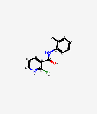 Cc1ccccc1NC(=O)c1cccnc1Br